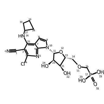 N#Cc1c(Cl)nc2c(ccn2[C@@H]2O[C@H](COCP(=O)(O)O)[C@@H](O)[C@H]2O)c1NC1CCC1